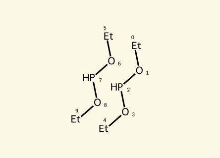 CCOPOCC.CCOPOCC